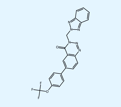 O=c1c2cc(-c3ccc(OC(F)(F)F)cc3)ccc2nnn1Cn1nc2ccccc2n1